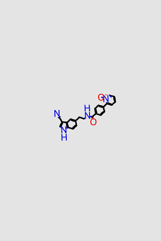 N#Cc1c[nH]c2ccc(CCNC(=O)c3ccc(-c4cccc[n+]4[O-])cc3)cc12